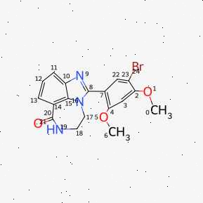 COc1cc(OC)c(-c2nc3cccc4c3n2CCNC4=O)cc1Br